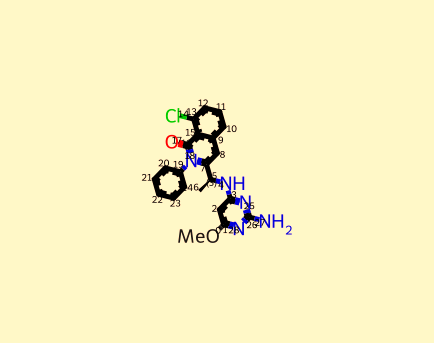 COc1cc(N[C@@H](C)c2cc3cccc(Cl)c3c(=O)n2-c2ccccc2)nc(N)n1